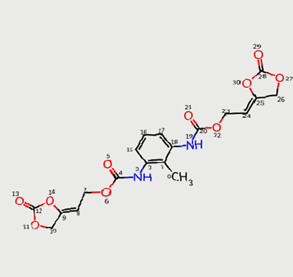 Cc1c(NC(=O)OC/C=C2/COC(=O)O2)cccc1NC(=O)OC/C=C1/COC(=O)O1